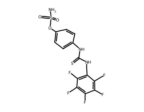 NS(=O)(=O)Oc1ccc(NC(=S)Nc2c(F)c(F)c(F)c(F)c2F)cc1